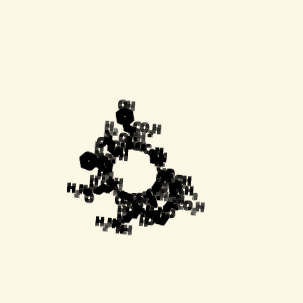 C[C@@H](O)[C@@H]1NC(=O)[C@@H]2Cn3cc(nn3)CCC[C@H](C(=O)N[C@@H](Cc3ccc(O)cc3)C(=O)O)NC(=O)[C@H](CCC(N)=O)NC(=O)[C@H](Cc3c[nH]c4ccccc34)NC(=O)[C@H](CCCNC(N)=O)NC(=O)[C@H](CSSC[C@H](NC(=O)CN)C(=O)N2)NC(=O)[C@H](CCCNC(=N)N)NC(=O)C2CCCN2C(=O)[C@H](CC(=O)O)NC1=O